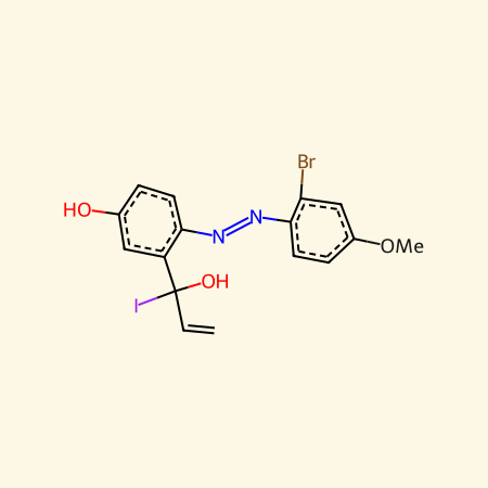 C=CC(O)(I)c1cc(O)ccc1N=Nc1ccc(OC)cc1Br